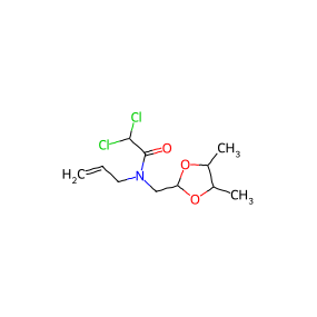 C=CCN(CC1OC(C)C(C)O1)C(=O)C(Cl)Cl